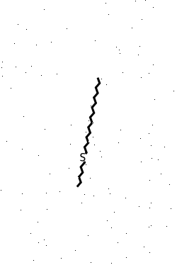 CCCCCCCCCCCCCCCCSCCCCCC